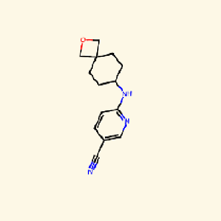 N#Cc1ccc(NC2CCC3(CC2)COC3)nc1